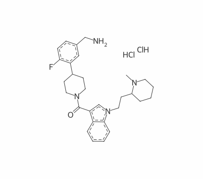 CN1CCCCC1CCn1cc(C(=O)N2CCC(c3cc(CN)ccc3F)CC2)c2ccccc21.Cl.Cl